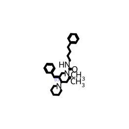 CC1(C)CC(N2CCCCC2)/C(=C/c2ccccc2)CN1C(=O)NCCCCc1ccccc1